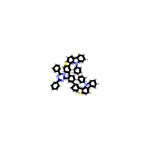 c1ccc(-c2nc(-c3ccccc3)nc(-c3cc(-c4ccc5sc6ccc7c8ccccc8n(-c8ccccc8)c7c6c5c4)ccc3-c3ccc4sc5ccc6c7ccccc7n(-c7ccccc7)c6c5c4c3)n2)cc1